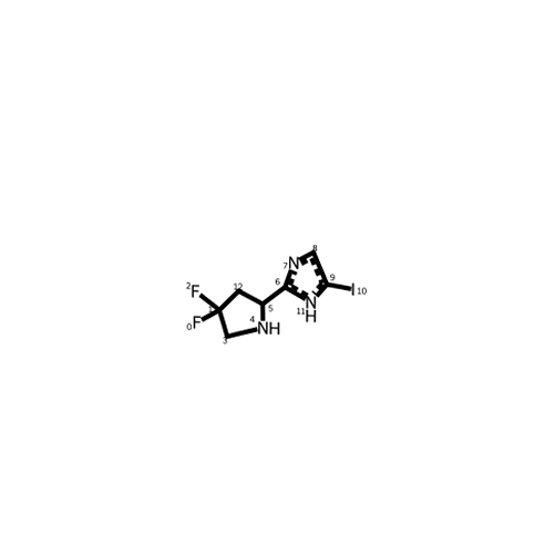 FC1(F)CNC(c2ncc(I)[nH]2)C1